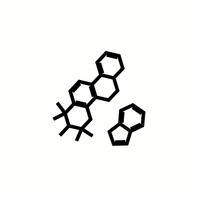 C1=Cc2ccccc2C1.CC1C(C)(C)Cc2c(ccc3c2CCC2CC=CC=C32)C1(C)C